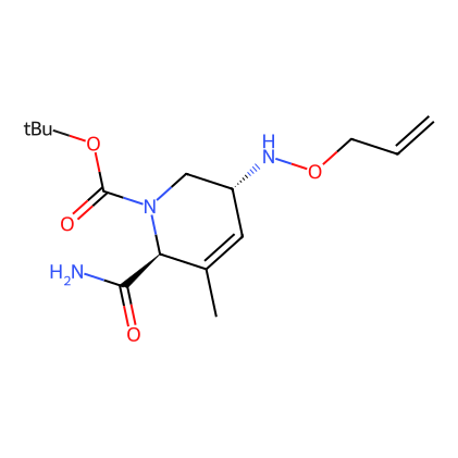 C=CCON[C@@H]1C=C(C)[C@@H](C(N)=O)N(C(=O)OC(C)(C)C)C1